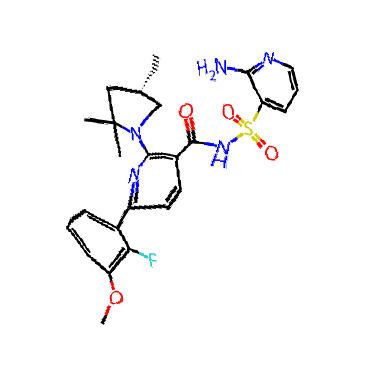 COc1cccc(-c2ccc(C(=O)NS(=O)(=O)c3cccnc3N)c(N3C[C@@H](C)CC3(C)C)n2)c1F